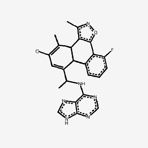 CC1=C(Cl)C=C(C(C)Nc2ncnc3[nH]cnc23)C2c3cccc(F)c3-c3onc(C)c3C12